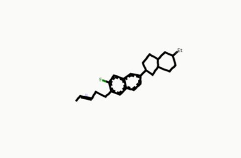 C/C=C/CCc1cc2ccc(C3CCC4CC(CC)CCC4C3)cc2cc1F